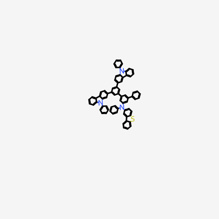 c1ccc(-c2cc(-c3cc(-c4ccc5c(c4)c4ccccc4n5-c4ccccc4)cc(-c4ccc5c6ccccc6n(-c6ccccc6)c5c4)c3)cc(N(c3ccccc3)c3ccc4sc5ccccc5c4c3)c2)cc1